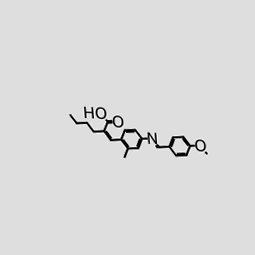 CCCCC(=Cc1ccc(N=Cc2ccc(OC)cc2)cc1C)C(=O)O